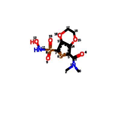 CN(C)C(=O)c1sc(S(=O)(=O)NO)c2c1OCCO2